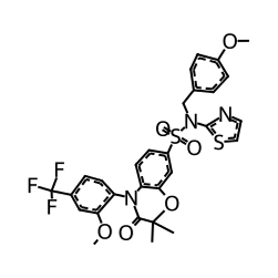 COc1ccc(CN(c2nccs2)S(=O)(=O)c2ccc3c(c2)OC(C)(C)C(=O)N3c2ccc(C(F)(F)F)cc2OC)cc1